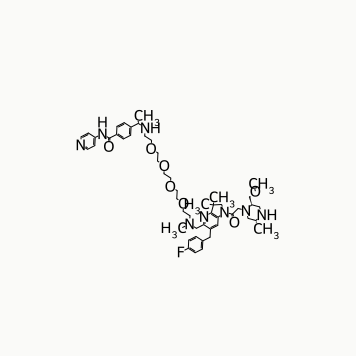 COC[C@H]1CN[C@H](C)CN1CC(=O)N1CC(C)(C)c2nc(CN(C)CCOCCOCCOCCOCCN[C@H](C)c3ccc(C(=O)Nc4ccncc4)cc3)c(Cc3ccc(F)cc3)cc21